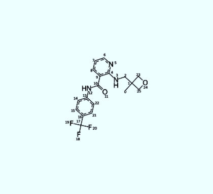 CC1(CNc2ncccc2C(=O)Nc2ccc(C(F)(F)F)cc2)COC1